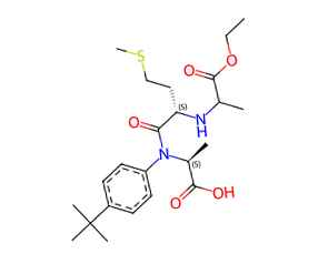 CCOC(=O)C(C)N[C@@H](CCSC)C(=O)N(c1ccc(C(C)(C)C)cc1)[C@@H](C)C(=O)O